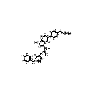 CNCc1ccc(-c2cnc3[nH]cc(NC(=O)Oc4cnn(Cc5ccccc5)c4)c3c2)cc1